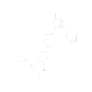 CC(C)(C)OC(=O)N1C[C@@H](N2CCC(c3cc(C(F)(F)F)nn3-c3ccccc3)CC2)C[C@H]1C(=O)N1CCSC1